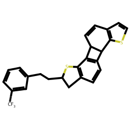 FC(F)(F)c1cccc(CCC2Cc3ccc4c(c3S2)C2C=Cc3ccsc3C42)c1